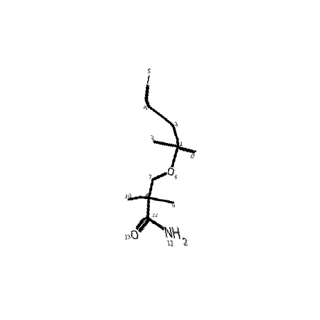 CC(C)(CCI)OCC(C)(C)C(N)=O